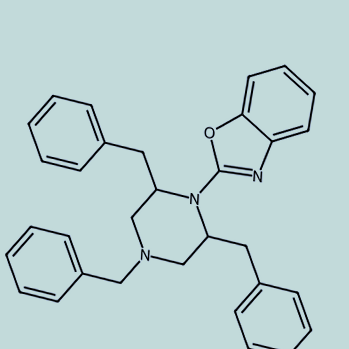 c1ccc(CC2CN(Cc3ccccc3)CC(Cc3ccccc3)N2c2nc3ccccc3o2)cc1